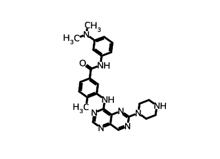 Cc1ccc(C(=O)Nc2cccc(N(C)C)c2)cc1Nc1ncnc2cnc(N3CCNCC3)nc12